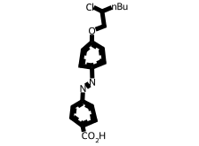 CCCCC(Cl)COc1ccc(N=Nc2ccc(C(=O)O)cc2)cc1